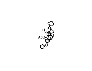 CC(=O)OC[C@]12CC[C@H](OC3CCCCO3)C=C1CC[C@@H]1[C@@H]2CC[C@]2(C)[C@@H](OC3CCCCO3)CC[C@@H]12